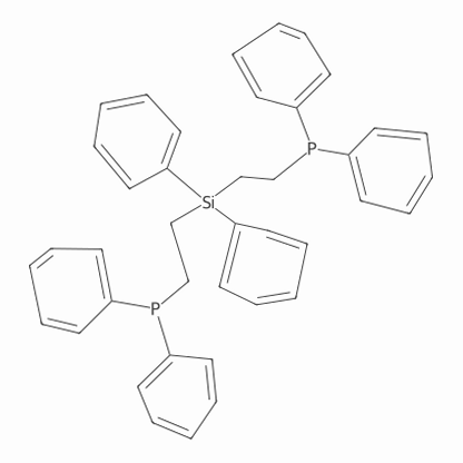 c1ccc(P(CC[Si](CCP(c2ccccc2)c2ccccc2)(c2ccccc2)c2ccccc2)c2ccccc2)cc1